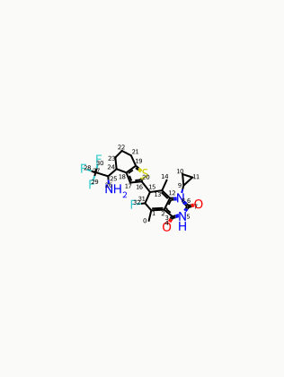 CC1=c2c(=O)[nH]c(=O)n(C3CC3)c2=C(C)C(c2cc3c(s2)CCCC3C(N)C(F)(F)F)C1F